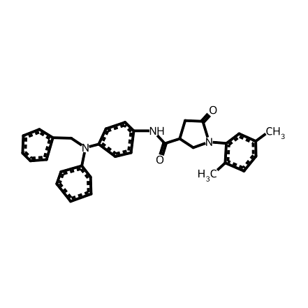 Cc1ccc(C)c(N2CC(C(=O)Nc3ccc(N(Cc4ccccc4)c4ccccc4)cc3)CC2=O)c1